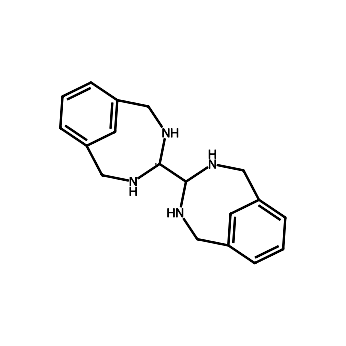 c1cc2cc(c1)CN[C](C1NCc3cccc(c3)CN1)NC2